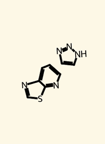 c1c[nH]nn1.c1cnc2scnc2c1